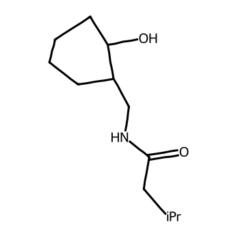 CC(C)CC(=O)NCC1CCCCC1O